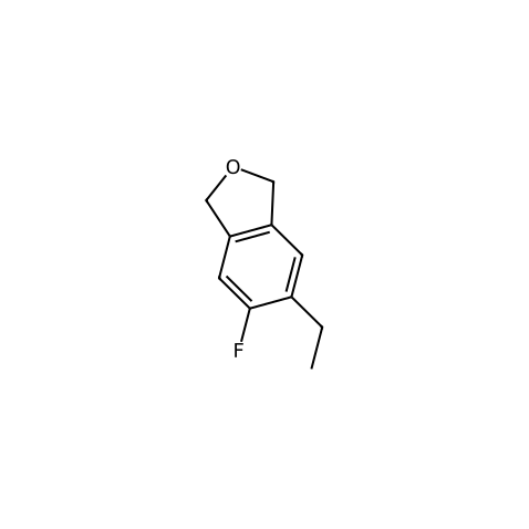 CCc1cc2c(cc1F)COC2